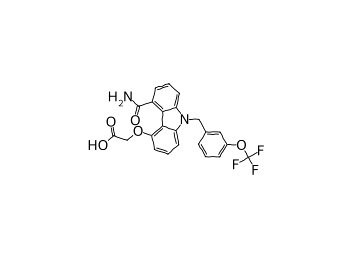 NC(=O)c1cccc2c1c1c(OCC(=O)O)cccc1n2Cc1cccc(OC(F)(F)F)c1